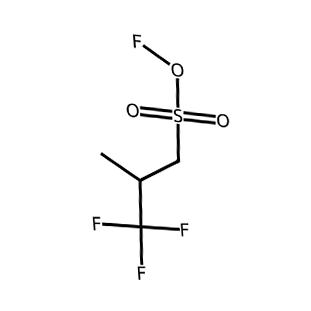 CC(CS(=O)(=O)OF)C(F)(F)F